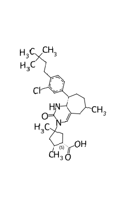 CC1CCC(c2ccc(CCC(C)(C)C)c(Cl)c2)C2NC(=O)N(C3(C)CC(C)[C@@H](C(=O)O)C3)C=C2C1